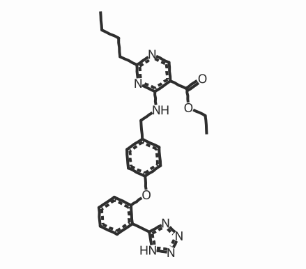 CCCCc1ncc(C(=O)OCC)c(NCc2ccc(Oc3ccccc3-c3nnn[nH]3)cc2)n1